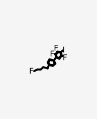 FCCCCCc1ccc(-c2cc(F)c(I)c(F)c2F)cc1